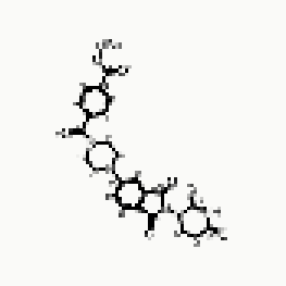 CC(C)(C)OC(=O)c1ccc(C(=O)N2CCN(c3ccc4c(c3)C(=O)N(C3CCC(=O)NC3=O)C4=O)CC2)cc1